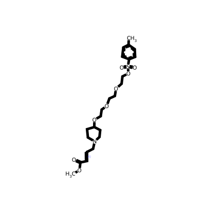 COC(=O)/C=C/CN1CCC(OCCOCCOCCOS(=O)(=O)c2ccc(C)cc2)CC1